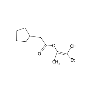 CC/C(O)=C(\C)OC(=O)CC1CCCC1